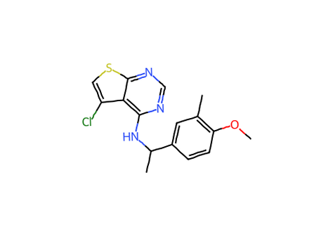 COc1ccc(C(C)Nc2ncnc3scc(Cl)c23)cc1C